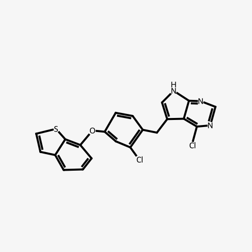 Clc1cc(Oc2cccc3ccsc23)ccc1Cc1c[nH]c2ncnc(Cl)c12